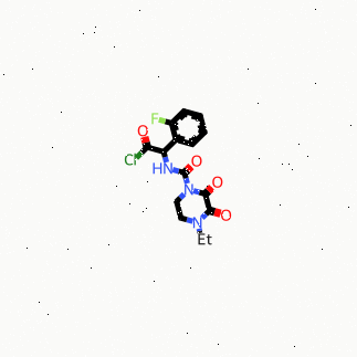 CCN1CCN(C(=O)NC(C(=O)Cl)c2ccccc2F)C(=O)C1=O